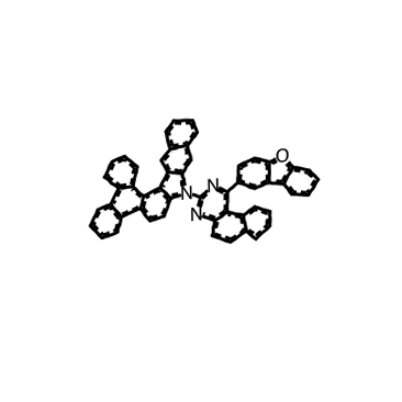 c1ccc2cc3c(cc2c1)c1c2c4ccccc4c4ccccc4c2ccc1n3-c1nc(-c2ccc3oc4ccccc4c3c2)c2c(ccc3ccccc32)n1